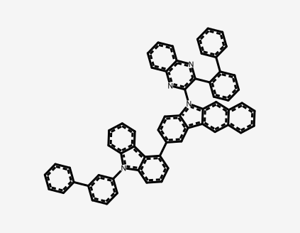 c1ccc(-c2cccc(-n3c4ccccc4c4c(-c5ccc6c(c5)c5cc7ccccc7cc5n6-c5nc6ccccc6nc5-c5ccccc5-c5ccccc5)cccc43)c2)cc1